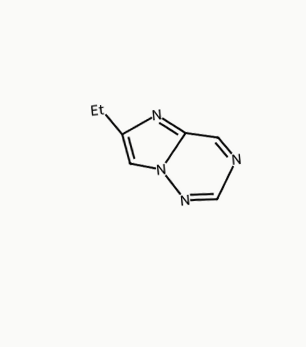 CCc1cn2ncncc2n1